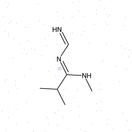 CN/C(=N\C=N)C(C)C